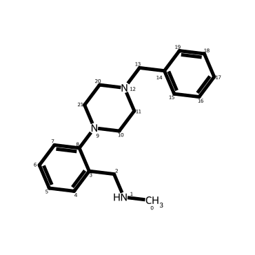 CNCc1ccccc1N1CCN(Cc2ccccc2)CC1